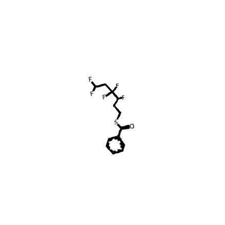 O=C(SCCC(F)C(F)(F)CC(F)F)c1ccccc1